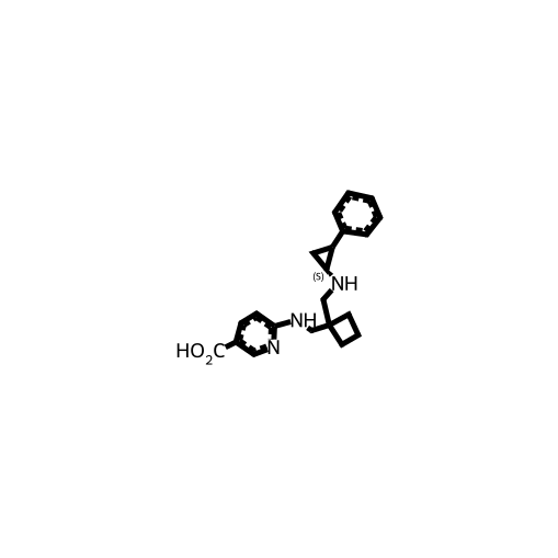 O=C(O)c1ccc(NCC2(CN[C@H]3CC3c3ccccc3)CCC2)nc1